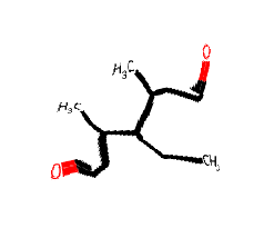 CCC(C(C)C=O)C(C)C=O